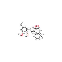 CCc1cc(CC[C@@H]2[C@@]3(C)CCCC(C)(C)C3CC[C@@]2(C)O)c(OC)c(OC)c1